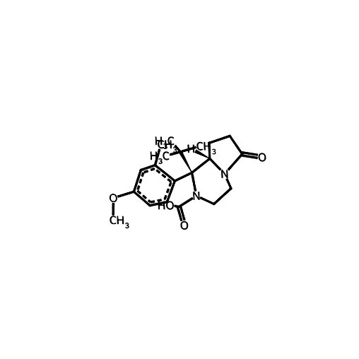 COc1ccc([C@]2(C(C)(C)C)[C@@H]3CCC(=O)N3CCN2C(=O)O)c(C)c1